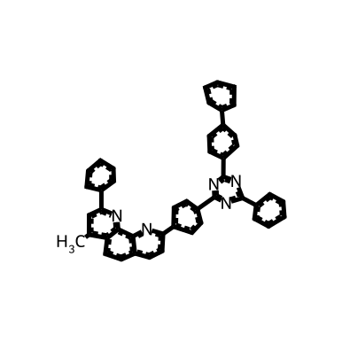 Cc1cc(-c2ccccc2)nc2c1ccc1ccc(-c3ccc(-c4nc(-c5ccccc5)nc(-c5ccc(-c6ccccc6)cc5)n4)cc3)nc12